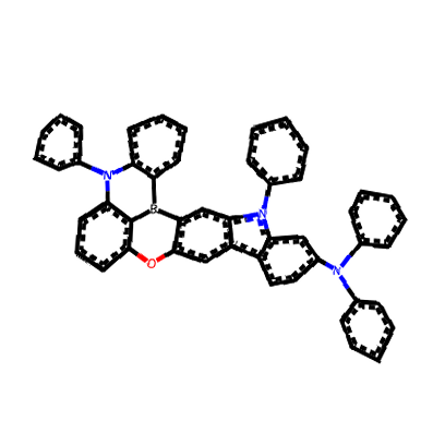 c1ccc(N(c2ccccc2)c2ccc3c4cc5c(cc4n(-c4ccccc4)c3c2)B2c3ccccc3N(c3ccccc3)c3cccc(c32)O5)cc1